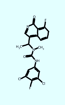 CC(C1=C2C=CCC(F)=C2C(=O)N=C1)N(C)C(=O)Nc1cc(Cl)c(F)c(Cl)c1